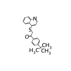 CC(C)(C)c1ccc(C(=O)CSc2ccnc3ccccc23)cc1